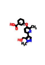 Cc1nc(-c2cnn(C)c2CO)ccc1O[C@H]1CCC[C@H](C(=O)O)C1